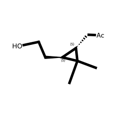 CC(=O)C[C@H]1[C@H](CCO)C1(C)C